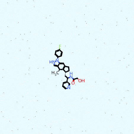 C[C@H]1C2=CNN(c3ccc(F)cc3)C2=CC2=C1[C@@H](CC(NC(=O)CO)c1cccnc1)CC2